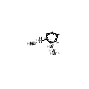 Br.Br.Br.Br.Br.Oc1ccccc1